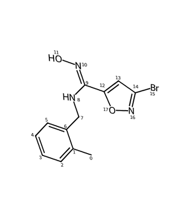 Cc1ccccc1CN/C(=N\O)c1cc(Br)no1